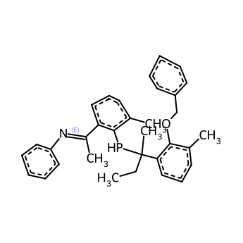 CCC(C)(Pc1c(C)cccc1/C(C)=N/c1ccccc1)c1cccc(C)c1OCc1ccccc1